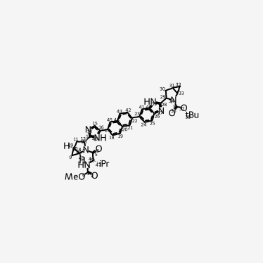 COC(=O)N[C@H](C(=O)N1[C@@H]2C[C@H]2C[C@H]1c1ncc(-c2ccc3cc(-c4ccc5nc(C6CC7CC7N6C(=O)OC(C)(C)C)[nH]c5c4)ccc3c2)[nH]1)C(C)C